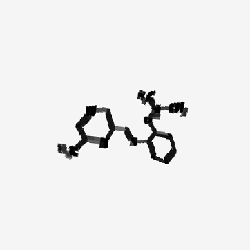 Cc1cncc(C=Nc2ccccc2O[SiH](C)C)n1